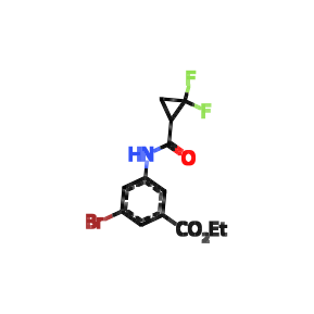 CCOC(=O)c1cc(Br)cc(NC(=O)C2CC2(F)F)c1